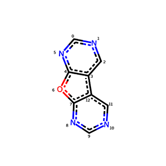 c1ncc2c(n1)oc1ncncc12